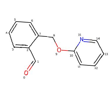 O=Cc1ccccc1COc1ccccn1